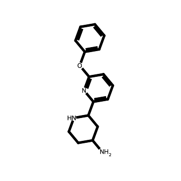 NC1CCNC(c2cccc(Oc3ccccc3)n2)C1